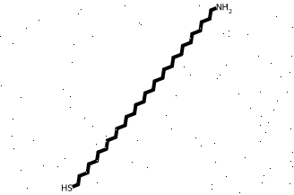 NCCCCCCCCCCCCCCCCCCCCCCCCCCCCCCS